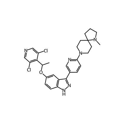 CC(Oc1ccc2[nH]nc(-c3ccc(N4CCC5(CCCN5C)CC4)nc3)c2c1)c1c(Cl)cncc1Cl